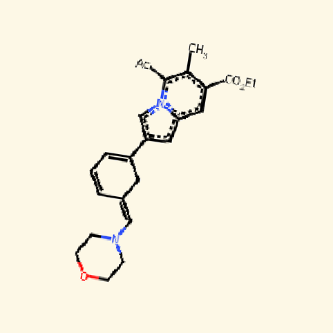 CCOC(=O)c1cc2cc(C3=CC=C/C(=C\N4CCOCC4)C3)cn2c(C(C)=O)c1C